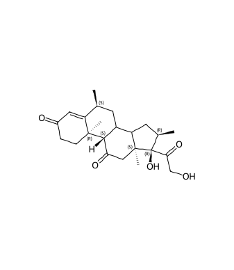 C[C@@H]1CC2C3C[C@H](C)C4=CC(=O)CC[C@]4(C)[C@H]3C(=O)C[C@]2(C)[C@@]1(O)C(=O)CO